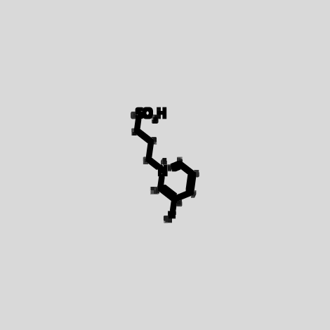 O=S(=O)(O)CCC[n+]1cccc(F)c1